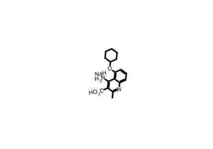 Cc1nc2cccc(OC3CCCCC3)c2c(N)c1C(=O)O.[NaH]